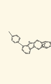 Cc1ccc(-c2cccc3c2sc2cc4c5ccc(o5)c4cc23)cc1